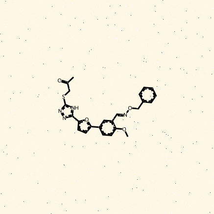 COc1ccc(-c2ccc(-c3nnc(SCC(C)=O)[nH]3)o2)cc1/C=N/OCc1ccccc1